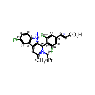 CC(C)CN1C(C)Cc2c([nH]c3ccc(F)cc23)C1c1c(F)cc(/C=C/C(=O)O)cc1F